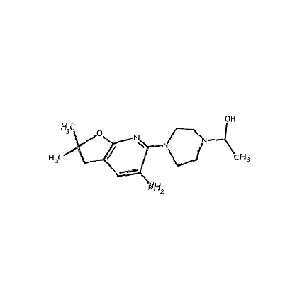 CC(O)N1CCN(c2nc3c(cc2N)CC(C)(C)O3)CC1